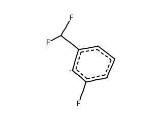 Fc1[c]c(C(F)F)ccc1